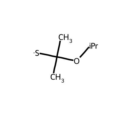 CC(C)OC(C)(C)[S]